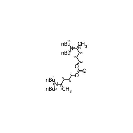 CCCCN(CCCC)C(C)CCCOC(=O)OCCCC(C)N(CCCC)CCCC